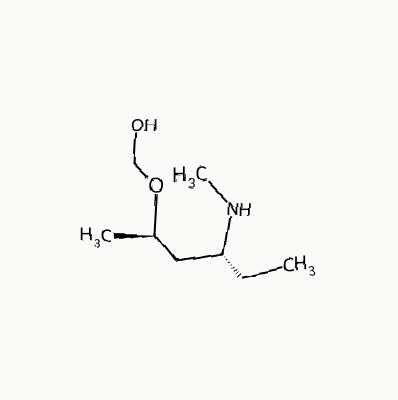 CC[C@H](C[C@@H](C)OCO)NC